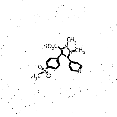 CN1C(C(=O)O)=C(c2ccc(S(C)(=O)=O)cc2)C(c2ccncc2)N1C